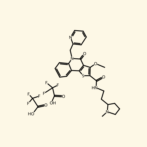 COc1c(C(=O)NCCC2CCCN2C)sc2c1c(=O)n(Cc1ccccn1)c1ccccc21.O=C(O)C(F)(F)F.O=C(O)C(F)(F)F